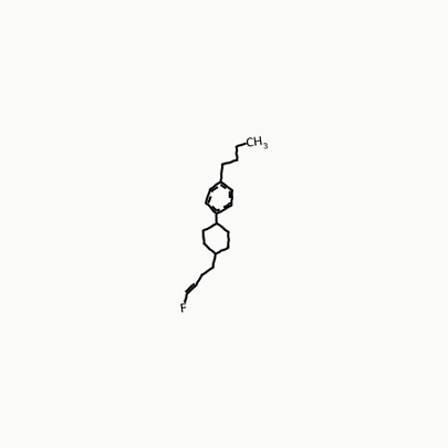 CCCCc1ccc(C2CCC(CC/C=C/F)CC2)cc1